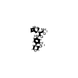 CC(C)(C)CN(CC1CCC1)[C@H](C(N)=O)C(=O)Nc1ccc(N2CCOCC2=O)c(C(F)(F)F)c1